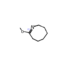 CO/C1=N/CCCCCC1